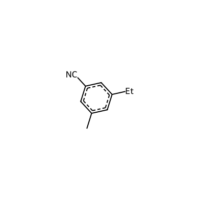 [CH2]Cc1cc(C)cc(C#N)c1